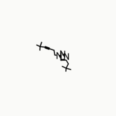 CC(C)(C)C#CCCn1cc(CC(C)(C)C)nn1